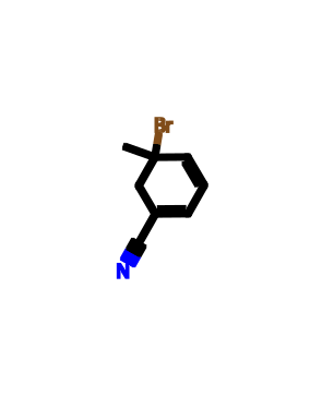 CC1(Br)C=CC=C(C#N)C1